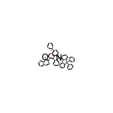 c1ccc(-c2ccc(N(c3ccccc3-c3cccc4oc5c6ccccc6ccc5c34)c3cccc4c3-c3ccccc3C4(c3ccccc3)c3ccccc3)cc2)cc1